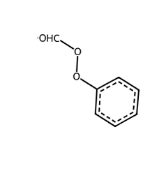 O=[C]OOc1ccccc1